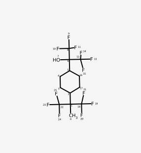 CC(C1CCC(C(O)(C(F)(F)F)C(F)(F)F)CC1)(C(F)(F)F)C(F)(F)F